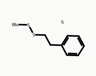 CC(C)(C)SSCCc1ccccc1.[S]